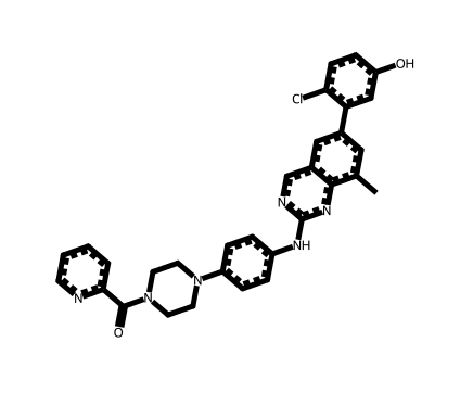 Cc1cc(-c2cc(O)ccc2Cl)cc2cnc(Nc3ccc(N4CCN(C(=O)c5ccccn5)CC4)cc3)nc12